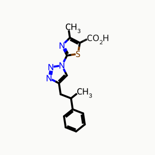 Cc1nc(-n2cc(CC(C)c3ccccc3)nn2)sc1C(=O)O